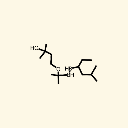 CCC(BBC(C)(C)OCCC(C)(C)O)CC(C)C